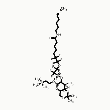 C=C=CCCCCNC(=O)CCCCC(F)(F)C(F)(F)OC(F)(F)C(F)(F)S(=O)(=O)OC1[C@H](OCC[Si](C)(C)C)OC2COC(C)(C)O[C@H]2[C@@H]1C